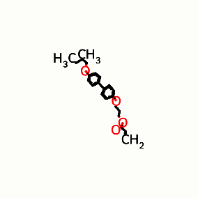 C=CC(=O)OCCCOc1ccc(-c2ccc(OCC(C)CC)cc2)cc1